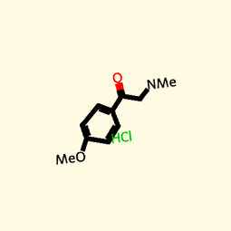 CNCC(=O)c1ccc(OC)cc1.Cl